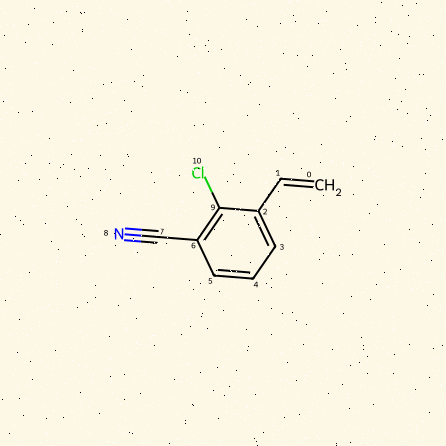 C=Cc1cccc(C#N)c1Cl